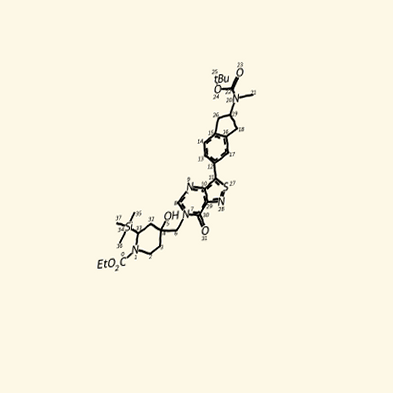 CCOC(=O)N1CCC(O)(Cn2cnc3c(-c4ccc5c(c4)CC(N(C)C(=O)OC(C)(C)C)C5)snc3c2=O)CC1[Si](C)(C)C